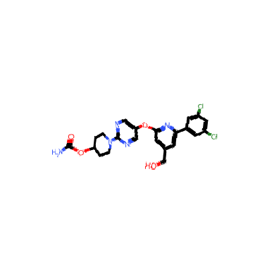 NC(=O)OC1CCN(c2ncc(Oc3cc(CO)cc(-c4cc(Cl)cc(Cl)c4)n3)cn2)CC1